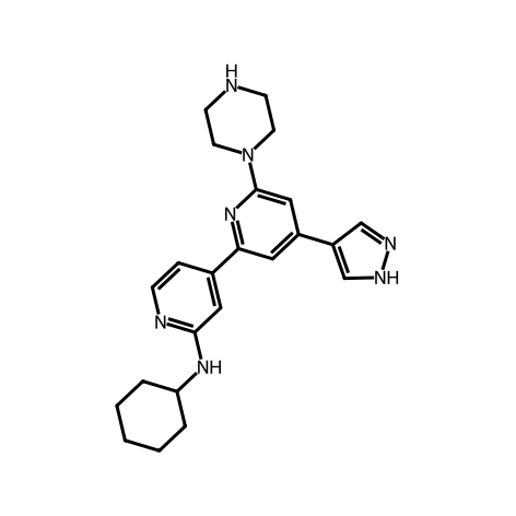 c1cc(-c2cc(-c3cn[nH]c3)cc(N3CCNCC3)n2)cc(NC2CCCCC2)n1